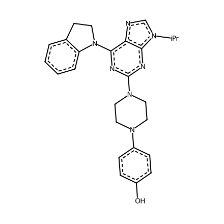 CC(C)n1cnc2c(N3CCc4ccccc43)nc(N3CCN(c4ccc(O)cc4)CC3)nc21